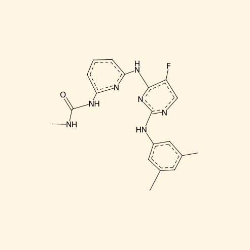 CNC(=O)Nc1cccc(Nc2nc(Nc3cc(C)cc(C)c3)ncc2F)n1